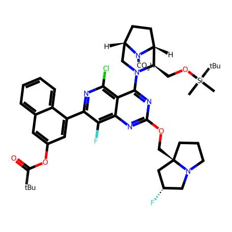 CC(C)(C)C(=O)Oc1cc(-c2nc(Cl)c3c(N4C[C@@H]5CC[C@H]([C@H]4CO[Si](C)(C)C(C)(C)C)N5C(=O)O)nc(OC[C@@]45CCCN4C[C@H](F)C5)nc3c2F)c2ccccc2c1